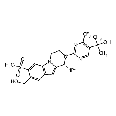 CC(C)[C@@H]1c2cc3cc(CO)c(S(C)(=O)=O)cc3n2CCN1c1ncc(C(C)(C)O)c(C(F)(F)F)n1